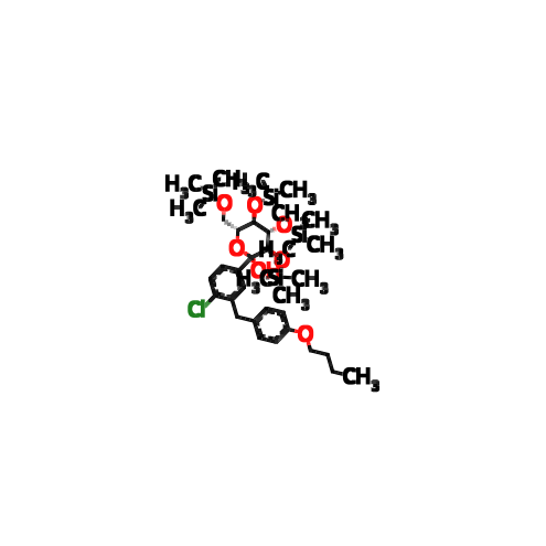 CCCCOc1ccc(Cc2cc([C@]3(O)O[C@H](CO[Si](C)(C)C)[C@@H](O[Si](C)(C)C)[C@H](O[Si](C)(C)C)[C@H]3O[Si](C)(C)C)ccc2Cl)cc1